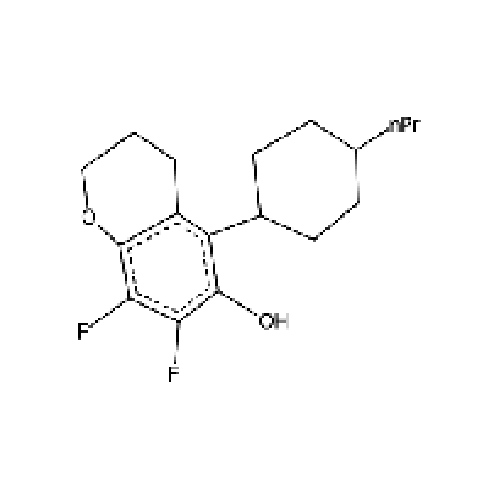 CCCC1CCC(c2c(O)c(F)c(F)c3c2CCCO3)CC1